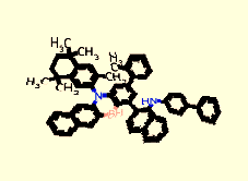 Cc1ccccc1-c1cc(-c2ccc3ccccc3c2Nc2ccc(-c3ccccc3)cc2)c2c(c1)N(c1cc3c(cc1C)C(C)(C)CCC3(C)C)c1cc3ccccc3cc1B2